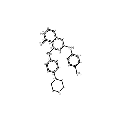 Cc1ccc(Nc2cc3cc[nH]c(=O)c3c(Nc3ccc(N4CCOCC4)cc3)n2)nc1